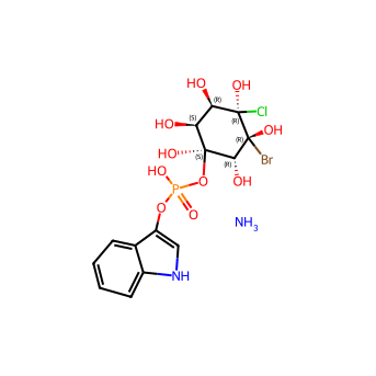 N.O=P(O)(Oc1c[nH]c2ccccc12)O[C@]1(O)[C@@H](O)[C@@](O)(Br)[C@](O)(Cl)[C@H](O)[C@@H]1O